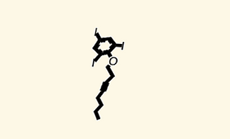 CCCCC#CCCOc1c(I)cc(I)cc1I